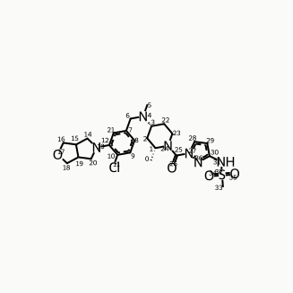 C[C@@H]1C[C@H](N(C)Cc2ccc(Cl)c(N3CC4COCC4C3)c2)CCN1C(=O)n1ccc(NS(C)(=O)=O)n1